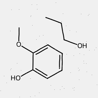 CCCO.COc1ccccc1O